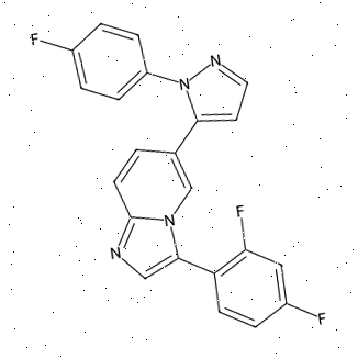 Fc1ccc(-n2nccc2-c2ccc3ncc(-c4ccc(F)cc4F)n3c2)cc1